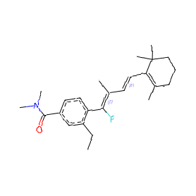 CCc1cc(C(=O)N(C)C)ccc1/C(F)=C(C)/C=C/C1=C(C)CCCC1(C)C